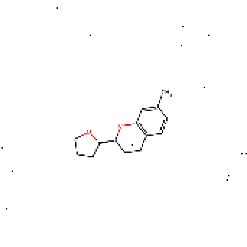 Cc1ccc2c(c1)O[C@H](C1CCCO1)CC2